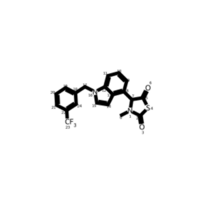 CN1C(=O)SC(=O)C1c1cccc2c1ccn2Cc1cccc(C(F)(F)F)c1